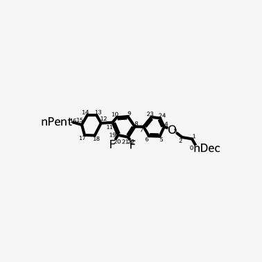 CCCCCCCCCCCCOc1ccc(-c2ccc(C3CCC(CCCCC)CC3)c(F)c2F)cc1